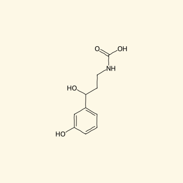 O=C(O)NCCC(O)c1cccc(O)c1